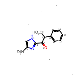 O=C(O)C(C(=O)c1nc([N+](=O)[O-])c[nH]1)c1ccccc1